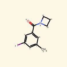 Cc1cc(I)cc(C(=O)N2CCC2)c1